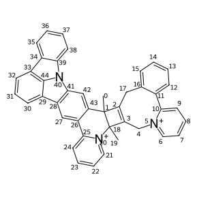 CC12C3=C(C[n+]4ccccc4-c4ccccc4C3)C1(C)[n+]1ccccc1-c1cc3c4cccc5c6ccccc6n(c3cc12)c54